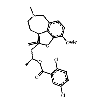 C=C[C@@]12CCN(C)Cc3ccc(OC)c(c31)OC2C[C@H](C)OC(=O)c1cc(Cl)ccc1Cl